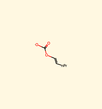 CCCC=COC([O])=O